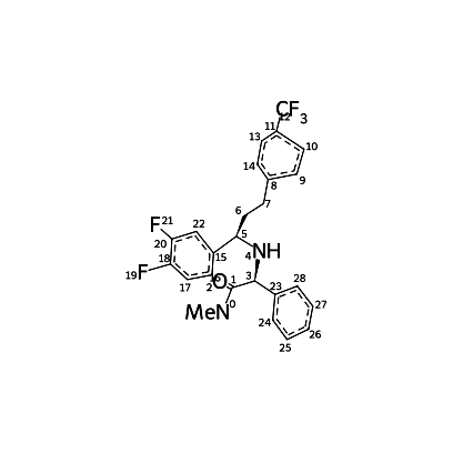 CNC(=O)[C@@H](N[C@H](CCc1ccc(C(F)(F)F)cc1)c1ccc(F)c(F)c1)c1ccccc1